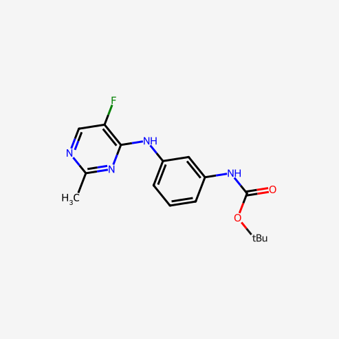 Cc1ncc(F)c(Nc2cccc(NC(=O)OC(C)(C)C)c2)n1